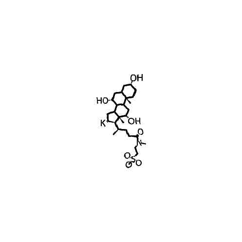 C[C@H](CCC(=O)N(C)CCS(=O)(=O)[O-])[C@H]1CCC2C3C(C[C@H](O)[C@@]21C)[C@@]1(C)CC[C@@H](O)CC1C[C@H]3O.[K+]